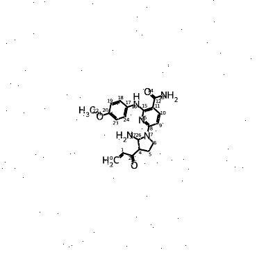 C=CC(=O)C1CCN(c2ccc(C(N)=O)c(Nc3ccc(OC)cc3)n2)C1N